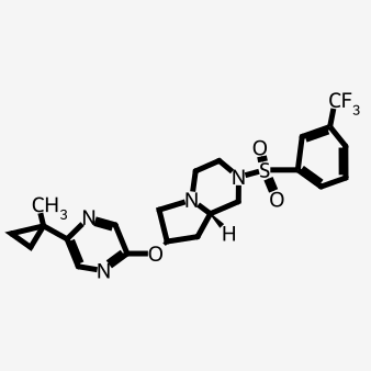 CC1(c2cnc(O[C@H]3C[C@H]4CN(S(=O)(=O)c5cccc(C(F)(F)F)c5)CCN4C3)cn2)CC1